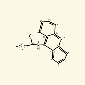 C[C@@H](Nc1c2ccccc2nc2ccccc12)C(=O)O